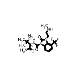 CNCCn1c(=O)n(C(=O)N[C@H](C(N)=O)C(C)(C)C)c2cccc(C(F)(F)F)c21